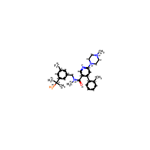 Cc1ccccc1-c1cc(N2CCN(C)CC2)ncc1C(=O)N(C)Cc1cc(C(F)(F)F)cc(C(C)(C)P)c1